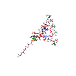 CCOCCOCCOCCOCCOCC(CNC(=O)C(C)(COC(=O)C(C)(C)Br)COC(=O)C(C)(C)Br)(CNC(=O)C(C)(COC(=O)C(C)(C)Br)COC(=O)C(C)(C)Br)CNC(=O)C(C)(COC(=O)C(C)(C)Br)COC(=O)C(C)(C)Br